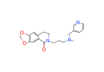 CN(CCCN1CCc2cc3c(cc2C1=O)OCO3)Cc1cccnc1